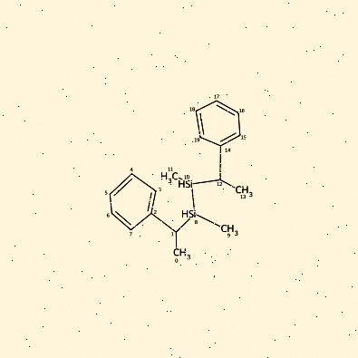 CC(c1ccccc1)[SiH](C)[SiH](C)C(C)c1ccccc1